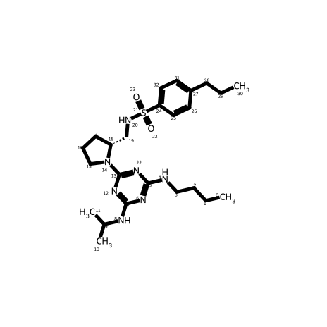 CCCCNc1nc(NC(C)C)nc(N2CCC[C@@H]2CNS(=O)(=O)c2ccc(CCC)cc2)n1